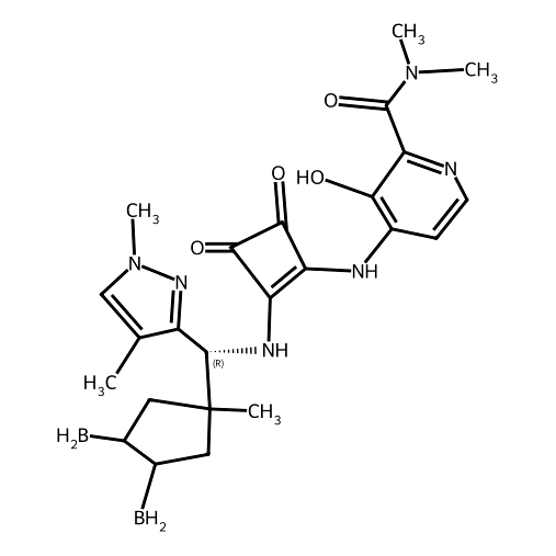 BC1CC(C)([C@@H](Nc2c(Nc3ccnc(C(=O)N(C)C)c3O)c(=O)c2=O)c2nn(C)cc2C)CC1B